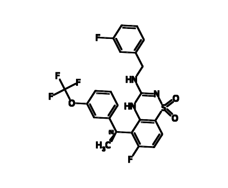 C[C@@H](c1cccc(OC(F)(F)F)c1)c1c(F)ccc2c1NC(NCc1cccc(F)c1)=NS2(=O)=O